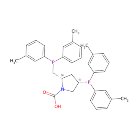 Cc1cccc(P(C[C@@H]2C[C@H](P(c3cccc(C)c3)c3cccc(C)c3)CN2C(=O)O)c2cccc(C)c2)c1